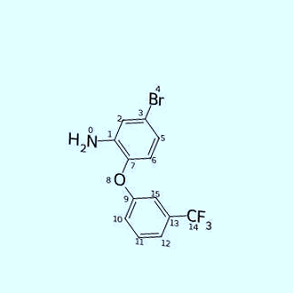 Nc1cc(Br)ccc1Oc1cccc(C(F)(F)F)c1